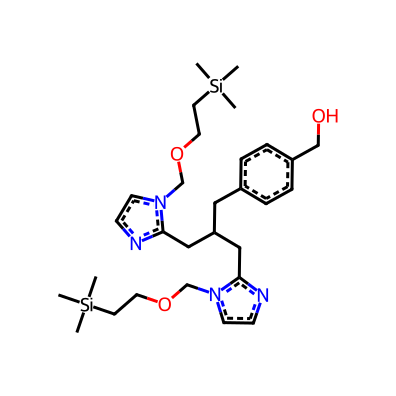 C[Si](C)(C)CCOCn1ccnc1CC(Cc1ccc(CO)cc1)Cc1nccn1COCC[Si](C)(C)C